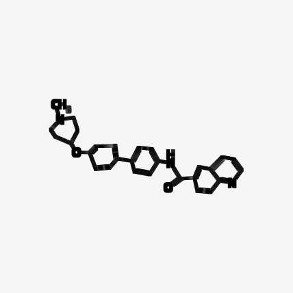 CN1CCC(Oc2ccc(-c3ccc(NC(=O)c4ccc5ncccc5c4)cc3)cc2)CC1